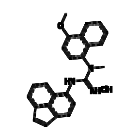 COc1ccc(N(C)C(=N)Nc2ccc3c4c(cccc24)C=C3)c2ccccc12.Cl